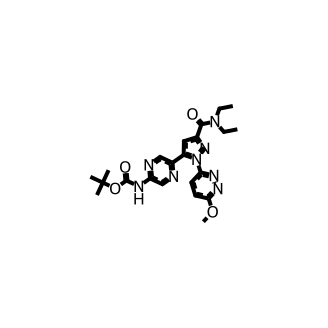 CCN(CC)C(=O)c1cc(-c2cnc(NC(=O)OC(C)(C)C)cn2)n(-c2ccc(OC)nn2)n1